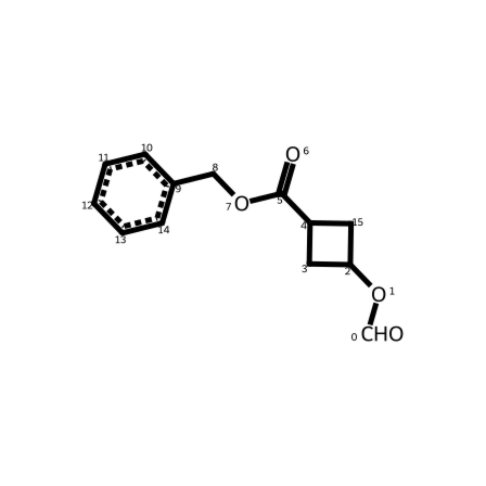 O=COC1CC(C(=O)OCc2ccccc2)C1